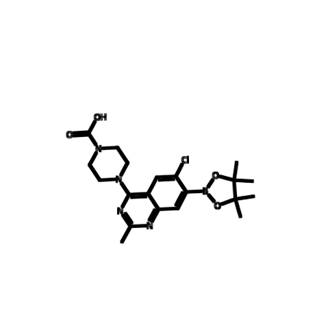 Cc1nc(N2CCN(C(=O)O)CC2)c2cc(Cl)c(B3OC(C)(C)C(C)(C)O3)cc2n1